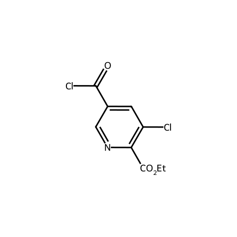 CCOC(=O)c1ncc(C(=O)Cl)cc1Cl